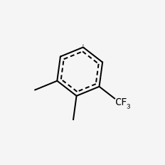 Cc1c[c]cc(C(F)(F)F)c1C